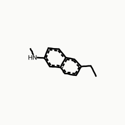 CCc1ccc2cc(NC)ccc2c1